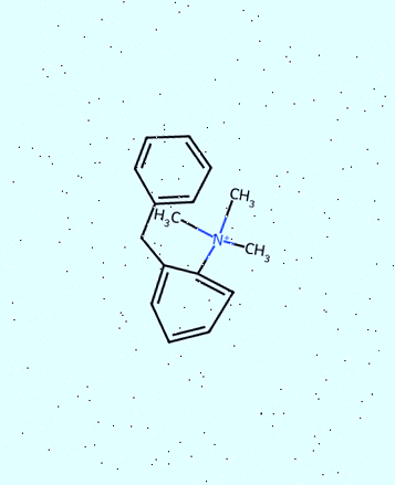 C[N+](C)(C)c1ccccc1Cc1ccccc1